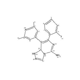 Cc1cc(C2=C(c3ccccc3F)N=C(N)N3C=NNC23)cc(C)n1